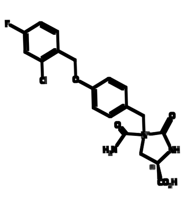 NC(=O)[N+]1(Cc2ccc(OCc3ccc(F)cc3Cl)cc2)C[C@H](C(=O)O)NC1=O